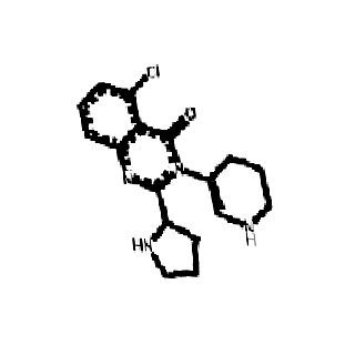 O=c1c2c(Cl)cccc2nc(C2CCCN2)n1C1=CNCCC1